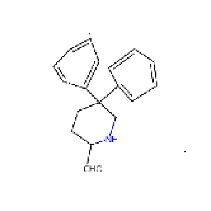 O=CC1CCC(c2ccccc2)(c2ccccc2)CN1